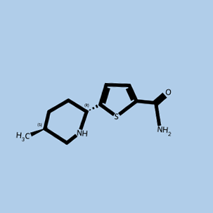 C[C@H]1CC[C@H](c2ccc(C(N)=O)s2)NC1